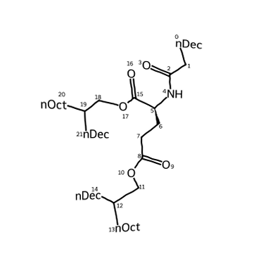 CCCCCCCCCCCC(=O)N[C@@H](CCC(=O)OCC(CCCCCCCC)CCCCCCCCCC)C(=O)OCC(CCCCCCCC)CCCCCCCCCC